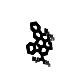 Cc1c2ccccc2cc2c1c1c3c(cc[n+]1C)cc(C(C)C)c1c4ccccc4n2c13